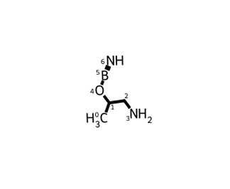 CC(CN)OB=N